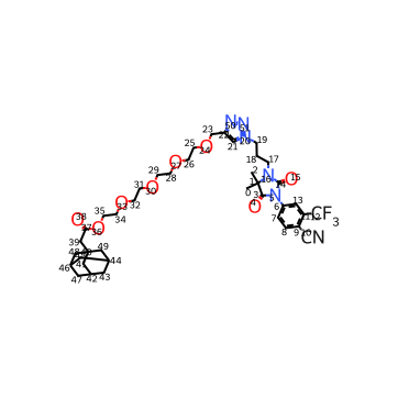 CC1(C)C(=O)N(c2ccc(C#N)c(C(F)(F)F)c2)C(=O)N1CCCn1cc(COCCOCCOCCOCCOC(=O)CC23CC4CC(CC(C4)C2)C3)nn1